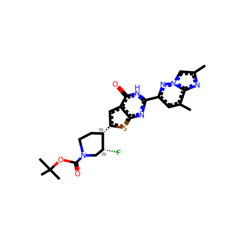 Cc1cn2nc(-c3nc4sc([C@H]5CCN(C(=O)OC(C)(C)C)C[C@H]5F)cc4c(=O)[nH]3)cc(C)c2n1